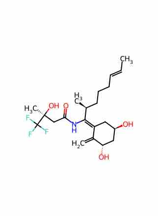 C=C1C(=C(NC(=O)C[C@](C)(O)C(F)(F)F)[C@@H](C)CCC/C=C/C)C[C@@H](O)C[C@@H]1O